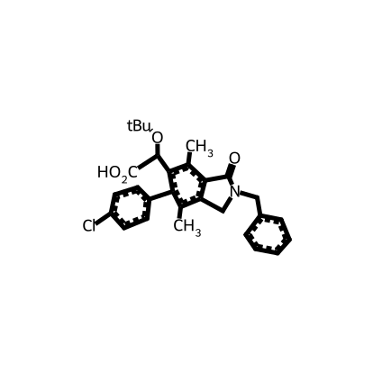 Cc1c2c(c(C)c(C(OC(C)(C)C)C(=O)O)c1-c1ccc(Cl)cc1)C(=O)N(Cc1ccccc1)C2